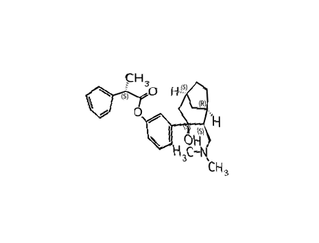 C[C@H](C(=O)Oc1cccc([C@]2(O)C[C@H]3CC[C@H](C3)[C@H]2CN(C)C)c1)c1ccccc1